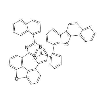 c1ccc(-c2cccc3oc4cccc(-c5nc(-c6ccccc6-c6cccc7c6sc6c8ccccc8ccc76)nc(-c6cccc7ccccc67)n5)c4c23)cc1